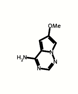 COc1cc2c(N)ncnn2c1